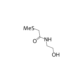 CSCC(=O)NCCO